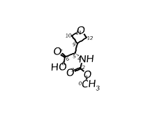 COC(=O)N[C@H](C(=O)O)C1COC1